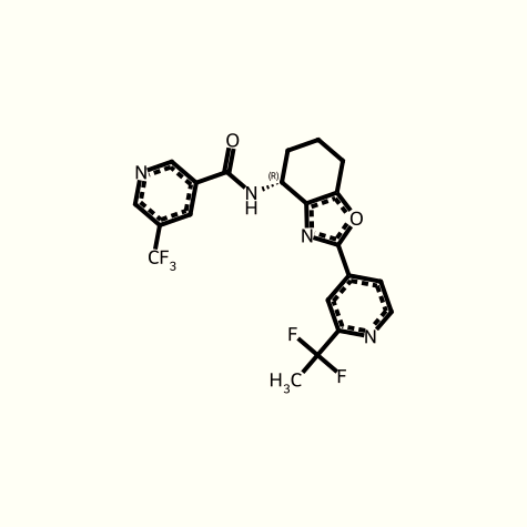 CC(F)(F)c1cc(-c2nc3c(o2)CCC[C@H]3NC(=O)c2cncc(C(F)(F)F)c2)ccn1